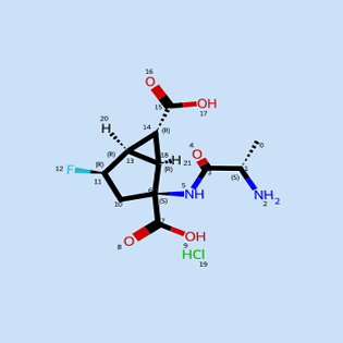 C[C@H](N)C(=O)N[C@@]1(C(=O)O)C[C@@H](F)[C@H]2[C@H](C(=O)O)[C@H]21.Cl